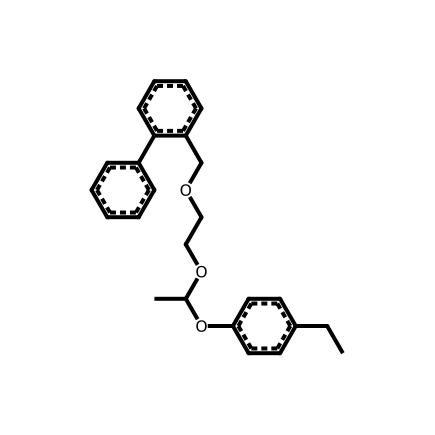 CCc1ccc(OC(C)OCCOCc2ccccc2-c2ccccc2)cc1